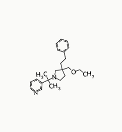 CCOCC1(CCc2ccccc2)CCN(C(C)(C)c2cccnc2)C1